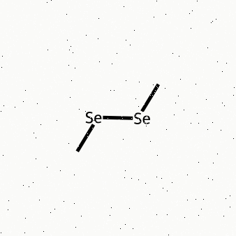 C[Se][Se]C